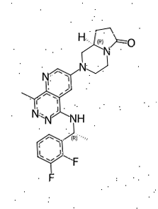 Cc1nnc(N[C@H](C)c2cccc(F)c2F)c2cc(N3CCN4C(=O)CC[C@@H]4C3)cnc12